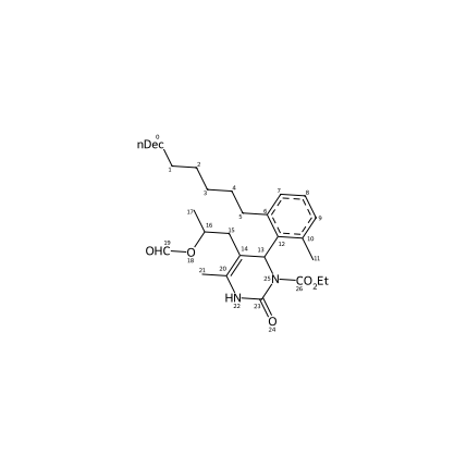 CCCCCCCCCCCCCCCc1cccc(C)c1C1C(CC(C)OC=O)=C(C)NC(=O)N1C(=O)OCC